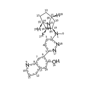 CN(c1ccc(-c2cc3ncccc3cc2O)nn1)[C@@H]1C[C@H]2CC[C@H](N2)[C@@H]1F